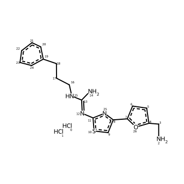 Cl.Cl.NCc1ccc(-c2csc(/N=C(\N)NCCCc3ccccc3)n2)o1